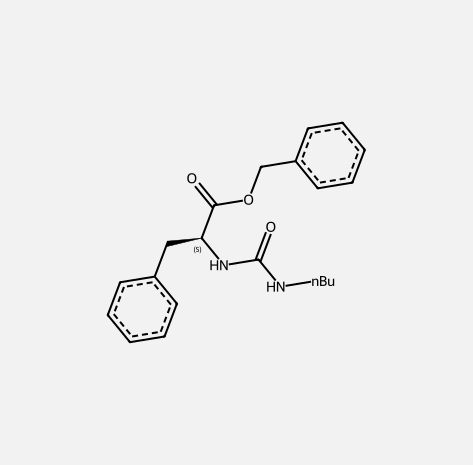 CCCCNC(=O)N[C@@H](Cc1ccccc1)C(=O)OCc1ccccc1